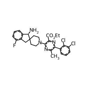 CCOC(=O)c1nc(-c2cccc(Cl)c2Cl)c(C)nc1N1CCC2(CC1)Cc1c(F)cccc1[C@H]2N